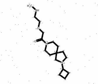 CBCCOCC(=O)N1CCC2(CC1)CCN(C1CCC1)C2